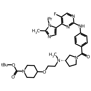 Cc1ncc(-c2nc(Nc3ccc(C(=O)N4CC[C@H](N(C)CCOC5CCN(C(=O)OC(C)(C)C)CC5)C4)cc3)ncc2F)n1C(C)C